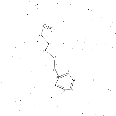 CSCCCCCc1ccccc1